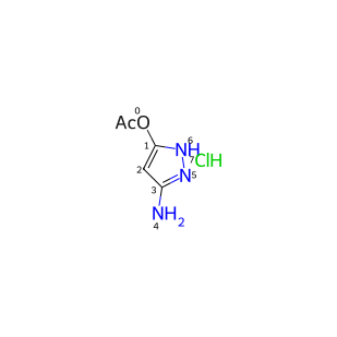 CC(=O)Oc1cc(N)n[nH]1.Cl